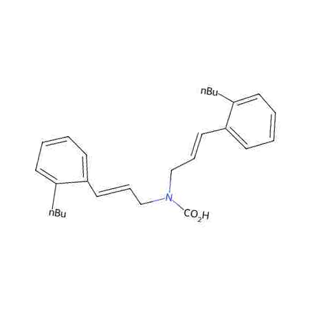 CCCCc1ccccc1/C=C/CN(C/C=C/c1ccccc1CCCC)C(=O)O